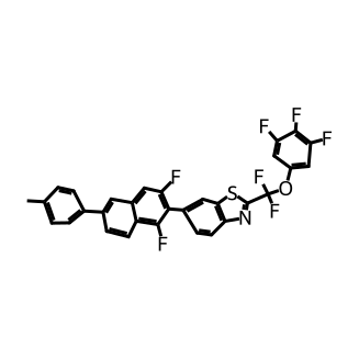 Cc1ccc(-c2ccc3c(F)c(-c4ccc5nc(C(F)(F)Oc6cc(F)c(F)c(F)c6)sc5c4)c(F)cc3c2)cc1